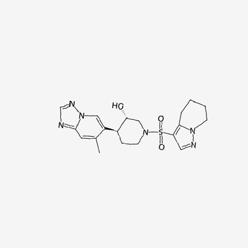 Cc1cc2ncnn2cc1[C@@H]1CCN(S(=O)(=O)c2cnn3c2CCCC3)C[C@H]1O